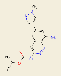 CC(C)OC(=O)Nc1cc2cc(-c3cnn(C)c3)cc(N)c2nn1